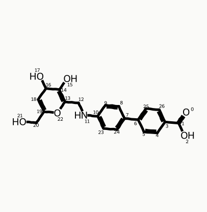 O=C(O)c1ccc(-c2ccc(NCC3=C(O)C(O)C=C(CO)O3)cc2)cc1